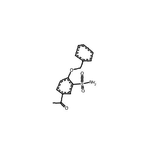 CC(=O)c1ccc(OCc2ccccc2)c(S(N)(=O)=O)c1